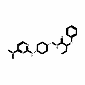 CCC(Oc1ccccc1)C(=O)NC[C@H]1CC[C@@H](Nc2nccc(N(C)C)n2)CC1